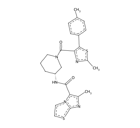 Cc1ccc(-c2sc(C)nc2C(=O)N2CCC[C@@H](NC(=O)c3c(C)nc4sccn34)C2)cc1